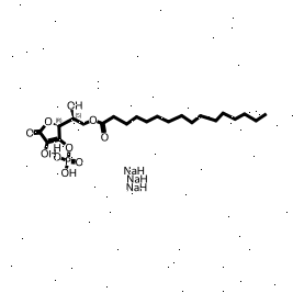 CCCCCCCCCCCCCCCC(=O)OC[C@H](O)[C@H]1OC(=O)C(O)=C1OP(=O)(O)O.[NaH].[NaH].[NaH]